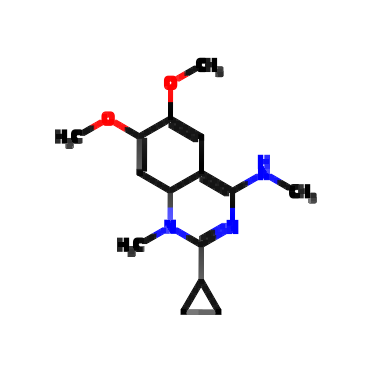 CNC1=C2C=C(OC)C(OC)=CC2N(C)C(C2CC2)=N1